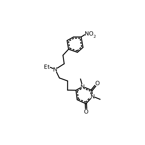 CCN(CCCc1cc(=O)n(C)c(=O)n1C)CCc1ccc([N+](=O)[O-])cc1